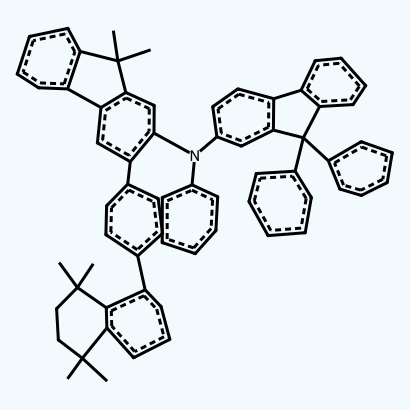 CC1(C)CCC(C)(C)c2c(-c3ccc(-c4cc5c(cc4N(c4ccccc4)c4ccc6c(c4)C(c4ccccc4)(c4ccccc4)c4ccccc4-6)C(C)(C)c4ccccc4-5)cc3)cccc21